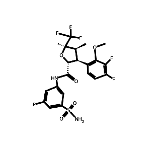 COc1c([C@H]2[C@H](C(=O)Nc3cc(F)cc(S(N)(=O)=O)c3)O[C@@](C)(C(F)(F)F)[C@H]2C)ccc(F)c1F